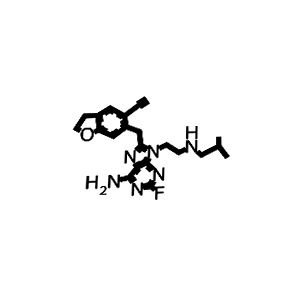 C#Cc1cc2c(cc1Cc1nc3c(N)nc(F)nc3n1CCNCC(C)C)OCC2